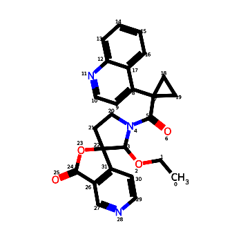 CCOC1N(C(=O)C2(c3ccnc4ccccc34)CC2)CCC12OC(=O)c1cnccc12